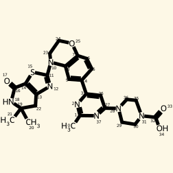 Cc1nc(-c2ccc3c(c2)N(c2nc4c(s2)C(=O)NC(C)(C)C4)CCO3)cc(N2CCN(C(=O)O)CC2)n1